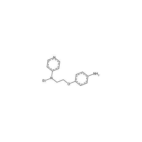 CCN(CCOc1ccc(N)cc1)c1ccncc1